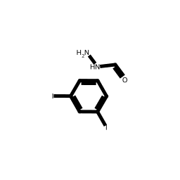 Ic1cccc(I)c1.NNC=O